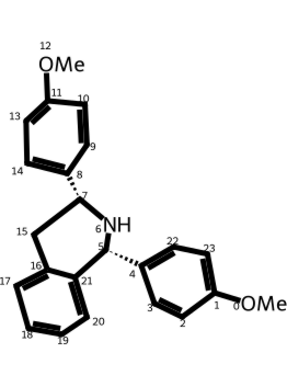 COc1ccc([C@H]2N[C@@H](c3ccc(OC)cc3)Cc3ccccc32)cc1